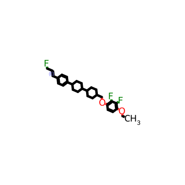 CCOc1ccc(OCC2CCC(C3CCC(c4ccc(/C=C/CF)cc4)CC3)CC2)c(F)c1F